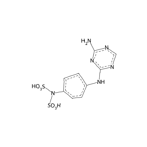 Nc1ncnc(Nc2ccc(N(S(=O)(=O)O)S(=O)(=O)O)cc2)n1